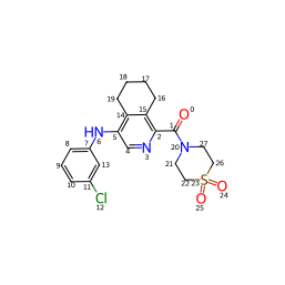 O=C(c1ncc(Nc2cccc(Cl)c2)c2c1CCCC2)N1CCS(=O)(=O)CC1